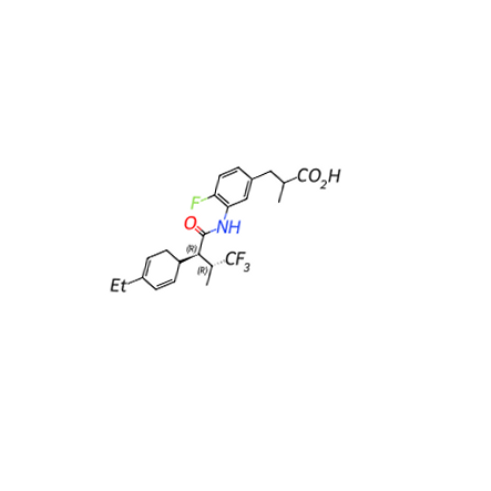 CCC1=CCC([C@@H](C(=O)Nc2cc(CC(C)C(=O)O)ccc2F)[C@@H](C)C(F)(F)F)C=C1